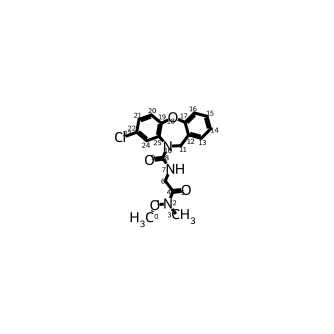 CON(C)C(=O)CNC(=O)N1Cc2ccccc2Oc2ccc(Cl)cc21